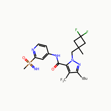 CC1(Cn2nc(C(C)(C)C)c(C(F)(F)F)c2C(=O)Nc2ccnc(S(C)(=N)=O)c2)CC(F)(F)C1